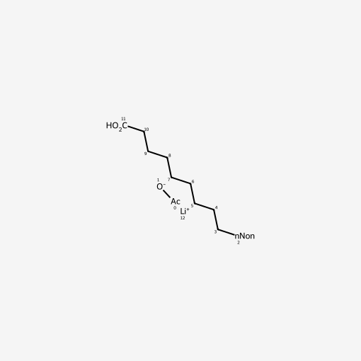 CC(=O)[O-].CCCCCCCCCCCCCCCCCC(=O)O.[Li+]